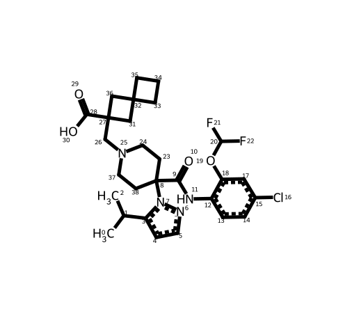 CC(C)c1ccnn1C1(C(=O)Nc2ccc(Cl)cc2OC(F)F)CCN(CC2(C(=O)O)CC3(CCC3)C2)CC1